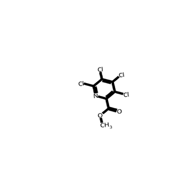 COC(=O)c1nc(Cl)c(Cl)c(Cl)c1Cl